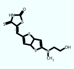 CN(CCO)C1=CC2SC(/C=C3\SC(=O)NC3=S)=CC2S1